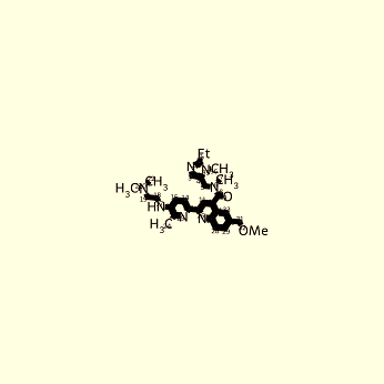 CCc1ncc(CN(C)C(=O)c2cc(-c3ccc(NCCN(C)C)c(C)n3)nc3ccc(COC)cc23)n1C